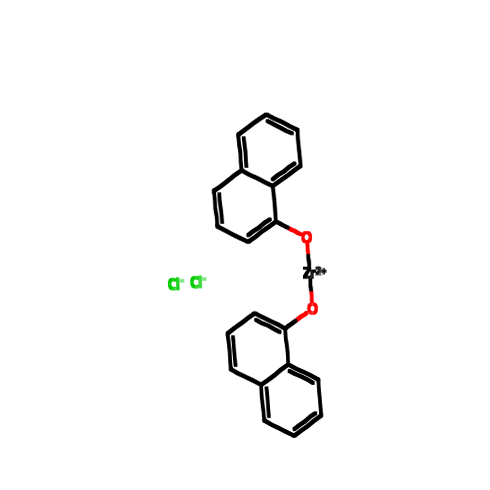 [Cl-].[Cl-].c1ccc2c([O][Zr+2][O]c3cccc4ccccc34)cccc2c1